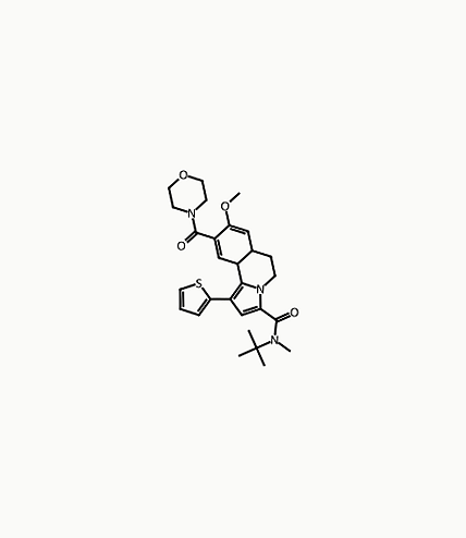 COC1=CC2CCn3c(C(=O)N(C)C(C)(C)C)cc(-c4cccs4)c3C2C=C1C(=O)N1CCOCC1